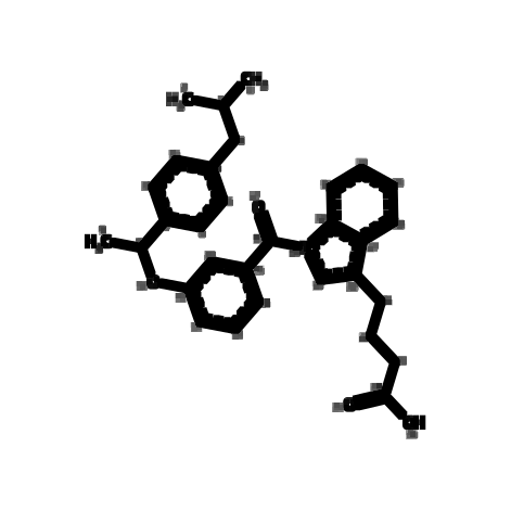 CC(C)Cc1ccc(C(C)Oc2cccc(C(=O)n3cc(CCCC(=O)O)c4ccccc43)c2)cc1